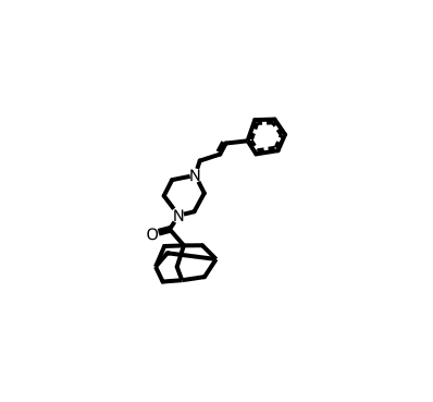 O=C(N1CCN(CC=Cc2ccccc2)CC1)C12CC3CC(CC(C3)C1)C2